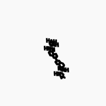 CC12CC1N[C@H](c1nc3c([nH]1)CCc1cc(-c4ccc5c(ccc6[nH]c([C@@H]7C[C@H]8C[C@H]8N7)nc65)c4)ccc1-3)C2